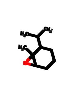 [CH2]C(C)C1CCCC2OC21C